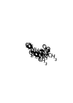 CC(C)[C@H]1COC(=O)N1c1ccnc(N[C@@H](C)c2ccc(C(=O)NC3CCOCC3)c(F)c2)n1